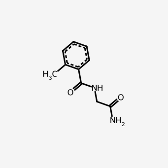 Cc1ccccc1C(=O)NCC(N)=O